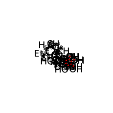 C=C(CC)[C@H]1CCCC2[C@](C)(C(=O)O[C@@H]3O[C@H](CO)[C@@H](O)C(O[C@@H]4O[C@H](CO)[C@@H](O)[C@H](O)[C@H]4O)[C@H]3O[C@@H]3O[C@H](CO)[C@@H](O)[C@H](O)[C@H]3O)CCC[C@@]2(C)[C@@H](C)CC1